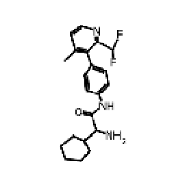 Cc1ccnc(C(F)F)c1-c1ccc(NC(=O)C(N)C2CCCCC2)cc1